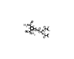 C=C(C)C(=O)OCC(COC(=O)C(=C)C)OC(=O)NCc1cc(C(N)=C=O)cc(C(N)=C=O)c1